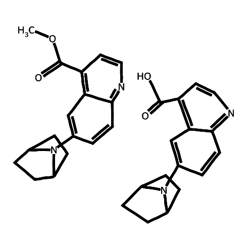 COC(=O)c1ccnc2ccc(N3C4CCC3CC4)cc12.O=C(O)c1ccnc2ccc(N3C4CCC3CC4)cc12